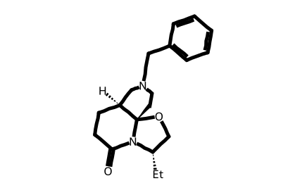 CC[C@H]1CO[C@@]23CCN(Cc4ccccc4)C[C@@H]2CCC(=O)N13